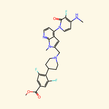 CNc1ccn(-c2ccnc3c2cc(CN2CCC(c4c(F)cc(C(=O)OC)cc4F)CC2)n3C)c(=O)c1F